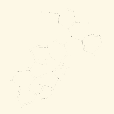 Cc1ccc(C)c(N(c2ccccc2)c2ccc3c4c(ccc3c2)-c2ccc3ccccc3c2C42c3ccccc3-c3ccccc32)c1